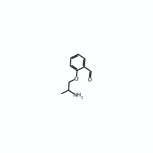 CC(N)COc1ccccc1C=O